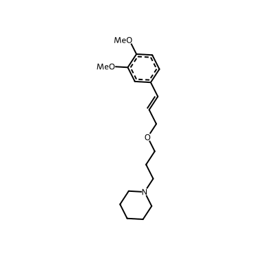 COc1ccc(C=CCOCCCN2CCCCC2)cc1OC